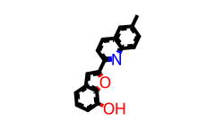 Cc1ccc2nc(-c3cc4cccc(O)c4o3)ccc2c1